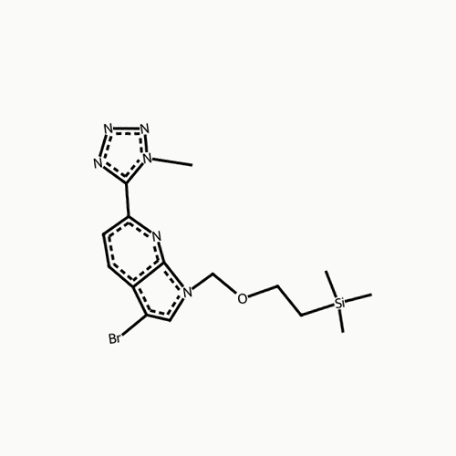 Cn1nnnc1-c1ccc2c(Br)cn(COCC[Si](C)(C)C)c2n1